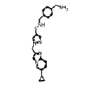 NCc1ccc(CNSc2cnn(Cc3cn4cc(C5CC5)ccc4n3)c2)cc1